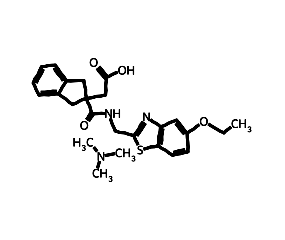 CCOc1ccc2sc(CNC(=O)C3(CC(=O)O)Cc4ccccc4C3)nc2c1.CN(C)C